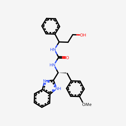 COc1ccc(C[C@@H](NC(=O)NC(CCO)c2ccccc2)c2nc3ccccc3[nH]2)cc1